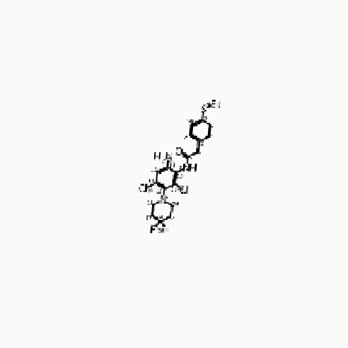 CCSc1ccc(CC(=O)Nc2c(N)cc(Cl)c(N3CCC(F)(F)CC3)c2Cl)cc1